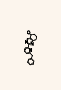 O=C1CCCc2nc(-c3cccc(Cc4ccccc4)n3)ncc21